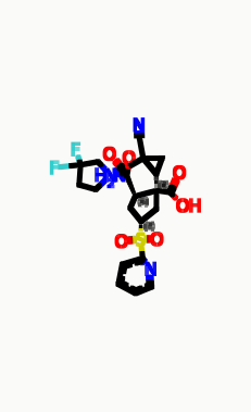 N#CC1(C(N)=O)CC1[C@]1(C(=O)O)C[C@H](S(=O)(=O)c2ccccn2)C[C@H]1C(=O)N1CCC(F)(F)C1